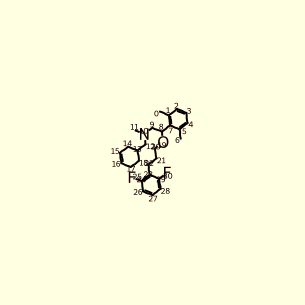 Cc1cccc(C)c1C(CN(C)CC1CC=CCC1)OCCCc1c(F)cccc1F